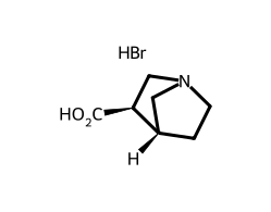 Br.O=C(O)[C@H]1CN2CC[C@H]1C2